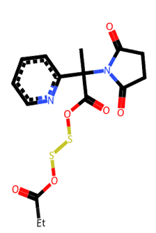 CCC(=O)OSSOC(=O)C(C)(c1ccccn1)N1C(=O)CCC1=O